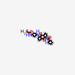 C=CC(=O)Nc1ccc(Nc2cccc3c2C(=O)c2cccc(NC(=O)c4ccccc4)c2C3=O)cc1